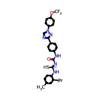 Cc1ccc(N/C(S)=N/C(=O)Nc2ccc(-c3ncn(-c4ccc(OC(F)(F)F)cc4)n3)cc2)c(C(C)C)c1